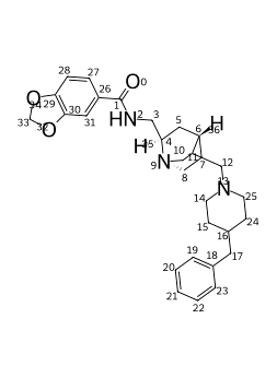 O=C(NC[C@H]1C[C@@H]2CC[N@@]1CC2CN1CCC(Cc2ccccc2)CC1)c1ccc2c(c1)OCO2